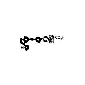 C[C@@H](NS(=O)(=O)N1CCN(c2ccc(C#Cc3ccc4c(c3)C(c3ccc[nH]3)=CCC4)cc2)CC1)C(=O)O